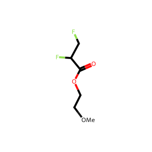 COCCOC(=O)C(F)CF